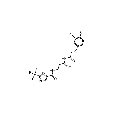 C=C(CCNC(=O)c1cnc(C(F)(F)F)o1)NC(=O)COc1ccc(Cl)c(Cl)c1